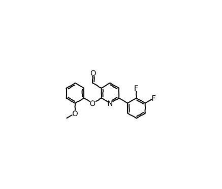 COc1ccccc1Oc1nc(-c2cccc(F)c2F)ccc1C=O